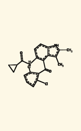 Cc1[nH]c2ccc(NC(=O)C3CC3)c(C(=O)c3c(Cl)cccc3Cl)c2c1C